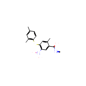 C=NC(=O)c1cc([N+](=O)[O-])c(Sc2ccc(C)cc2C)cc1C